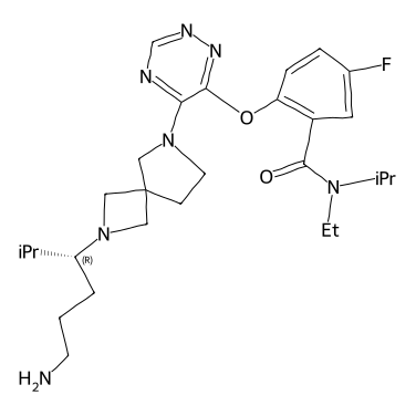 CCN(C(=O)c1cc(F)ccc1Oc1nncnc1N1CCC2(C1)CN([C@H](CCCN)C(C)C)C2)C(C)C